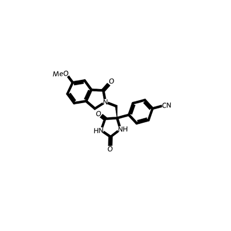 COc1ccc2c(c1)C(=O)N(C[C@@]1(c3ccc(C#N)cc3)NC(=O)NC1=O)C2